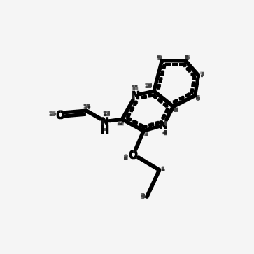 CCOc1nc2ccccc2nc1NC=O